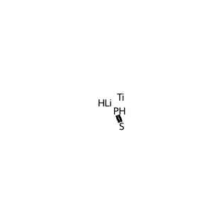 P=S.[LiH].[Ti]